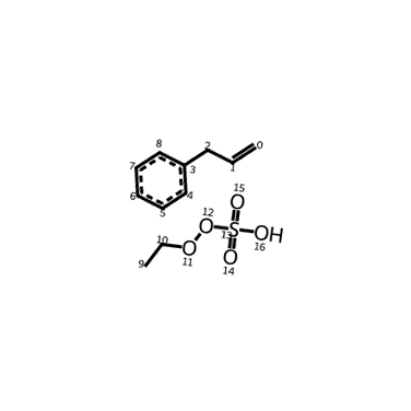 C=CCc1ccccc1.CCOOS(=O)(=O)O